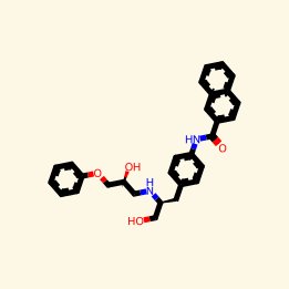 O=C(Nc1ccc(C[C@@H](CO)NC[C@H](O)COc2ccccc2)cc1)c1ccc2ccccc2c1